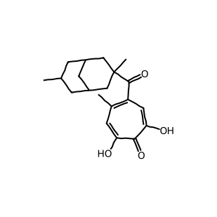 Cc1cc(O)c(=O)c(O)cc1C(=O)C1(C)CC2CC(C)CC(C2)C1